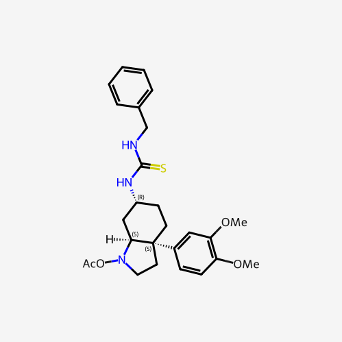 COc1ccc([C@@]23CC[C@@H](NC(=S)NCc4ccccc4)C[C@@H]2N(OC(C)=O)CC3)cc1OC